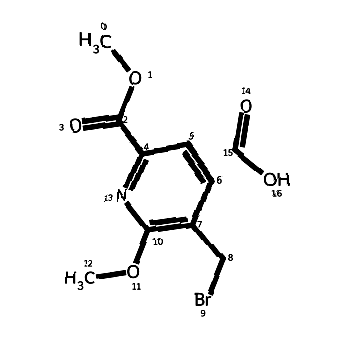 COC(=O)c1ccc(CBr)c(OC)n1.O=CO